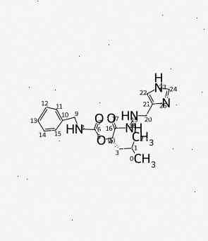 CC(C)C[C@H](OC(=O)NCc1ccccc1)C(=O)NNCc1c[nH]cn1